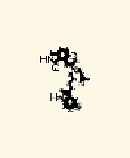 O=C1NCc2ccc3c(c21)CC(N(CCCCc1c[nH]c2ccc(F)cc12)CC1CC1)CO3